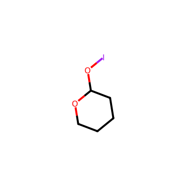 IOC1CCCCO1